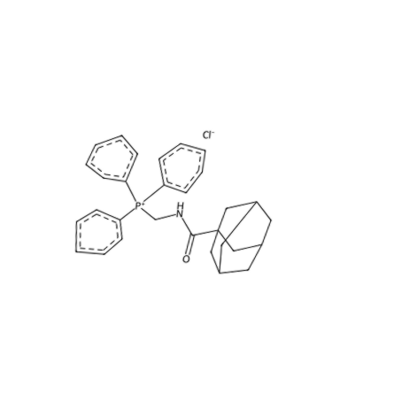 O=C(NC[P+](c1ccccc1)(c1ccccc1)c1ccccc1)C12CC3CC(CC(C3)C1)C2.[Cl-]